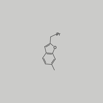 Cc1ccc2cc(CC(C)C)oc2c1